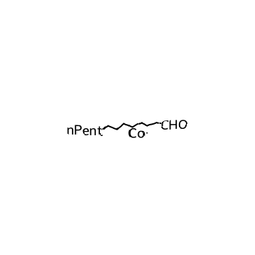 CCCCCCCCCCCCC=O.[Co]